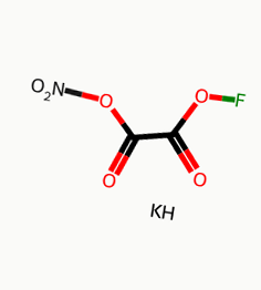 O=C(OF)C(=O)O[N+](=O)[O-].[KH]